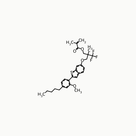 C=C(C)C(=O)OCC(C)(COc1ccc2cc(-c3ccc(CCCCC)cc3OC)sc2c1)C(F)(F)F